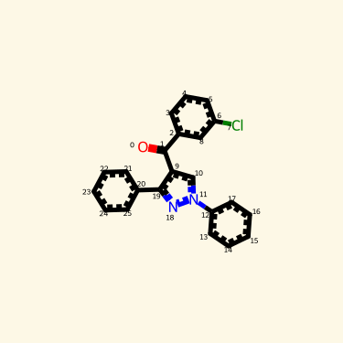 O=C(c1cccc(Cl)c1)c1cn(-c2ccccc2)nc1-c1ccccc1